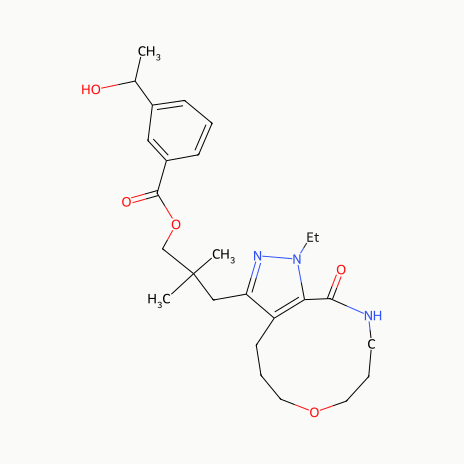 CCn1nc(CC(C)(C)COC(=O)c2cccc(C(C)O)c2)c2c1C(=O)NCCCOCCC2